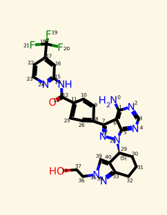 Nc1ncnc2c1c(-c1ccc(C(=O)Nc3cc(C(F)(F)F)ccn3)cc1)nn2[C@H]1CCCc2nn(CCO)cc21